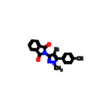 CCc1c(N2C(=O)c3ccccc3C2=O)nn(C)c1-c1ccc(C#N)cc1